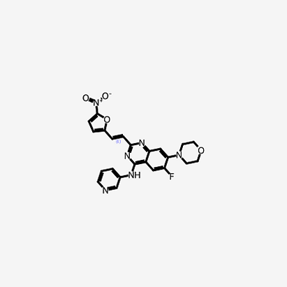 O=[N+]([O-])c1ccc(/C=C/c2nc(Nc3cccnc3)c3cc(F)c(N4CCOCC4)cc3n2)o1